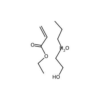 C=CC(=O)OCC.CCCCCCO.O